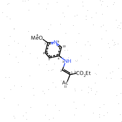 CCOC(=O)/C(=C\Nc1ccc(OC)nc1)C(C)=O